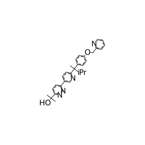 CC(C)C(C)(c1ccc(OCc2ccccn2)cc1)c1ccc(-c2ccc(C(C)(C)O)nn2)cn1